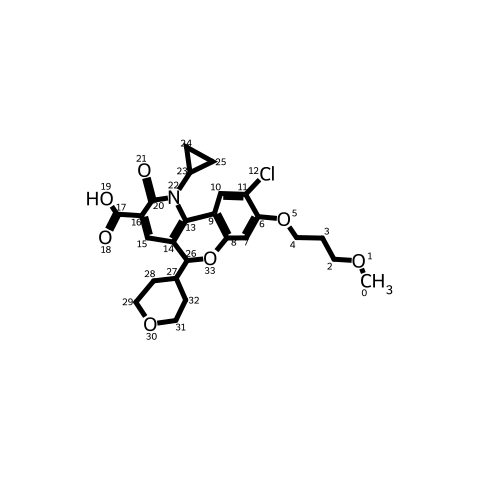 COCCCOc1cc2c(cc1Cl)-c1c(cc(C(=O)O)c(=O)n1C1CC1)C(C1CCOCC1)O2